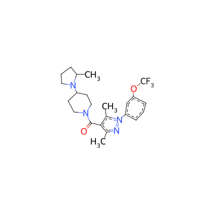 Cc1nn(-c2cccc(OC(F)(F)F)c2)c(C)c1C(=O)N1CCC(N2CCCC2C)CC1